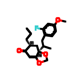 CCC[C@@H]1C[C@@]2(C(C)Cc3ccc(OC)cc3F)OCOC2=CC1=O